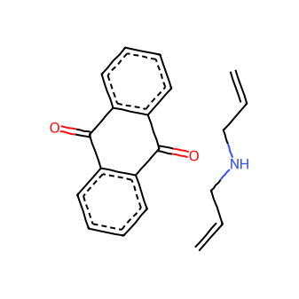 C=CCNCC=C.O=C1c2ccccc2C(=O)c2ccccc21